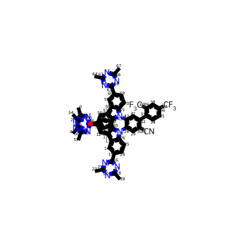 Cc1nc(C)nc(-c2ccc3c(c2)c2cc(-c4nc(C)nc(C)n4)ccc2n3-c2cc(C#N)c(-c3ccc(C(F)(F)F)cc3C(F)(F)F)cc2-n2c3ccc(-c4nc(C)nc(C)n4)cc3c3cc(-c4nc(C)nc(C)n4)ccc32)n1